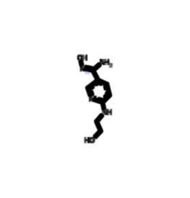 N/C(=N\O)c1ccc(NCCO)nc1